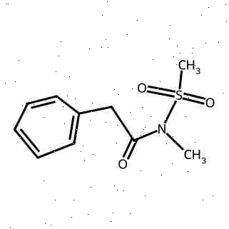 CN(C(=O)Cc1ccccc1)S(C)(=O)=O